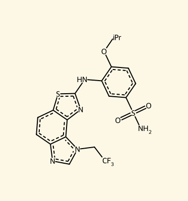 CC(C)Oc1ccc(S(N)(=O)=O)cc1Nc1nc2c(ccc3ncn(CC(F)(F)F)c32)s1